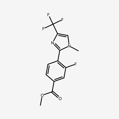 COC(=O)c1ccc(-c2nc(C(F)(F)F)cn2C)c(F)c1